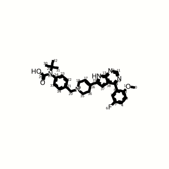 COc1ccc(F)cc1-c1ncnc2[nH]c(C3=CCN(Cc4ccc(N(C(=O)O)C(C)(C)C)cc4)CC3)cc12